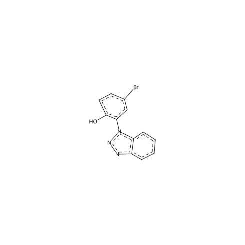 Oc1ccc(Br)cc1-n1nnc2ccccc21